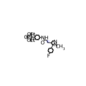 CCC(CC)(c1ccc(NC(=O)/C=C/c2cnn(C)c2-c2ccc(F)cc2)cc1)P(=O)(O)O